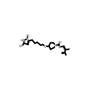 C=C(C)/C(F)=C\N=C(/CC)N1CCC(OCCCCCC2=CC(CC)NN2CC)CC1